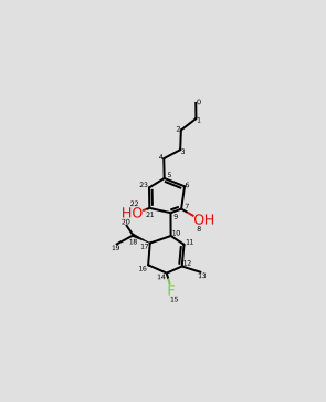 CCCCCc1cc(O)c(C2C=C(C)C(F)C[C@H]2C(C)C)c(O)c1